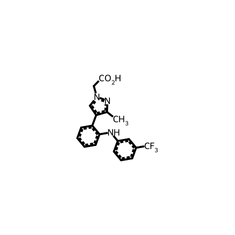 Cc1nn(CC(=O)O)cc1-c1ccccc1Nc1cccc(C(F)(F)F)c1